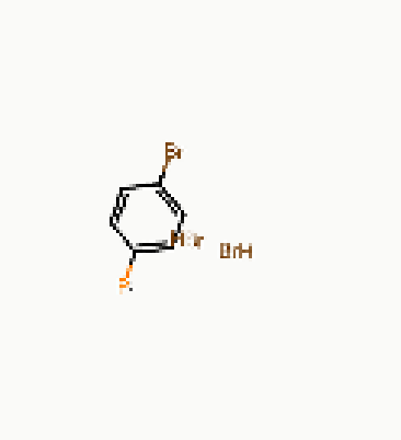 Br.Br.[P]c1ccc(Br)cc1